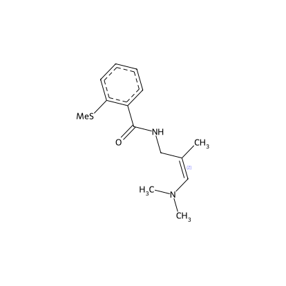 CSc1ccccc1C(=O)NC/C(C)=C\N(C)C